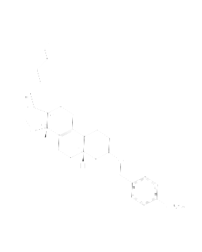 COc1ccc(COC2CC[C@]3(C)C4=C(CC[C@H]3C2)[C@@H]2OC[C@H]([C@H](C)CCCC(C)C)[C@@]2(C)CC4)cc1